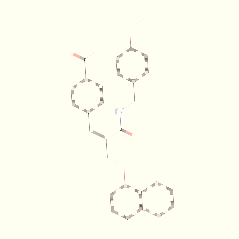 COc1ccc(CNC(=O)C(=Cc2ccc(C(=O)O)cc2)COc2cccc3ccccc23)cc1